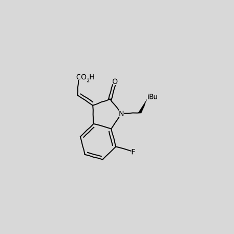 CC[C@H](C)CN1C(=O)C(=CC(=O)O)c2cccc(F)c21